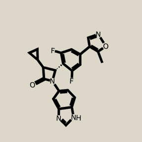 Cc1oncc1-c1cc(F)c([C@H]2C(C3CC3)C(=O)N2c2ccc3[nH]cnc3c2)c(F)c1